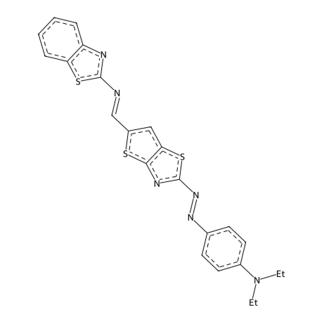 CCN(CC)c1ccc(N=Nc2nc3sc(/C=N/c4nc5ccccc5s4)cc3s2)cc1